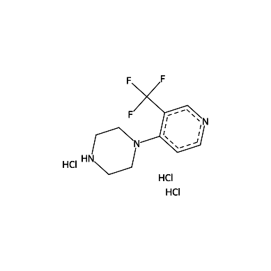 Cl.Cl.Cl.FC(F)(F)c1cnccc1N1CCNCC1